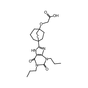 CCCn1c(=O)c2[nH]c(C34CCCC(OCC(=O)O)(CC3)CC4)nc2n(CCC)c1=O